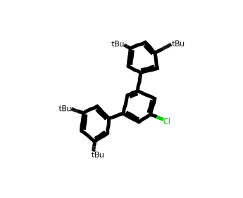 CC(C)(C)c1cc(-c2cc(Cl)cc(-c3cc(C(C)(C)C)cc(C(C)(C)C)c3)c2)cc(C(C)(C)C)c1